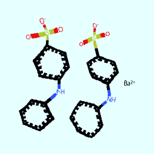 O=S(=O)([O-])c1ccc(Nc2ccccc2)cc1.O=S(=O)([O-])c1ccc(Nc2ccccc2)cc1.[Ba+2]